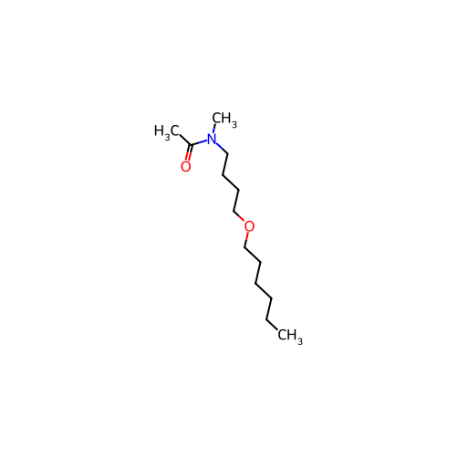 CCCCCCOCCCCN(C)C(C)=O